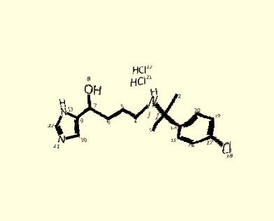 CC(C)(NCCCC(O)c1cnc[nH]1)c1ccc(Cl)cc1.Cl.Cl